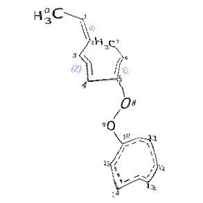 C\C=C/C=C\C(=C/C)OOc1ccccc1